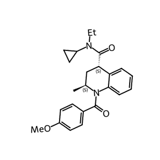 CCN(C(=O)[C@H]1C[C@H](C)N(C(=O)c2ccc(OC)cc2)c2ccccc21)C1CC1